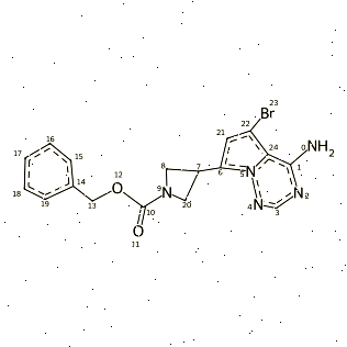 Nc1ncnn2c(C3CN(C(=O)OCc4ccccc4)C3)cc(Br)c12